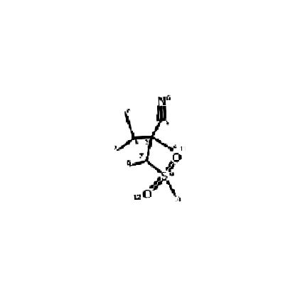 CC(C)C(C)(C#N)C(C)S(C)(=O)=O